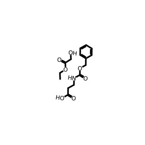 CCOC(=O)CO.O=C(O)CCNC(=O)OCc1ccccc1